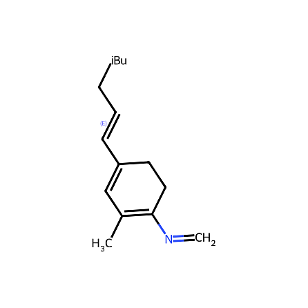 C=NC1=C(C)C=C(/C=C/CC(C)CC)CC1